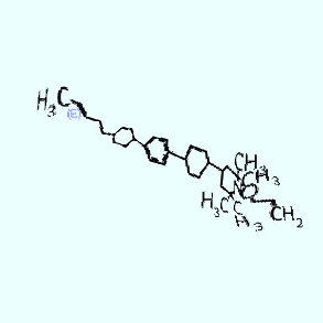 C=CCON1C(C)(C)CC(C2CCC(c3ccc(C4CCC(CC/C=C/C)CC4)cc3)CC2)CC1(C)C